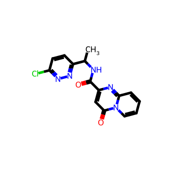 CC(NC(=O)c1cc(=O)n2ccccc2n1)c1ccc(Cl)nn1